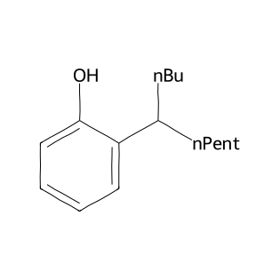 CCCCCC(CCCC)c1ccccc1O